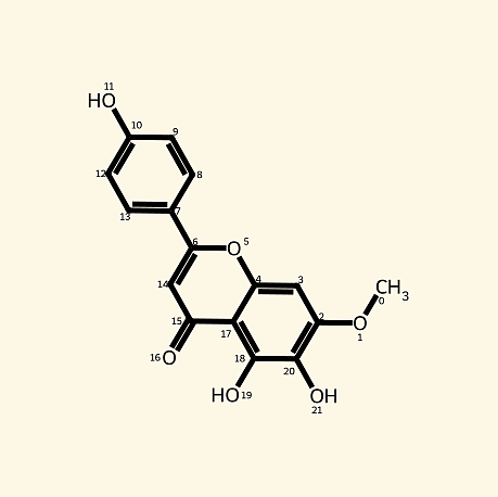 COc1cc2oc(-c3ccc(O)cc3)cc(=O)c2c(O)c1O